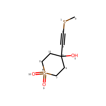 CSC#CC1(O)CCS(=O)(=O)CC1